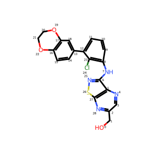 OCc1cnc2c(Nc3cccc(-c4ccc5c(c4)OCCO5)c3Cl)nsc2n1